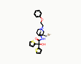 O=C(N[C@H]1C[N+]2(CCOc3ccccc3)CCC1CC2)C(O)(c1cccs1)c1cccs1.[Br-]